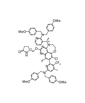 COc1ccc(CN(Cc2ccc(OC)cc2)c2cc(C)c(C(F)(F)F)c(-c3c(Cl)c4c5c(nc(OC[C@@H]6CCC(=O)N6)nc5c3F)N([C@H](C)c3cccnc3N(Cc3ccc(OC)cc3)Cc3ccc(OC)cc3)CCO4)n2)cc1